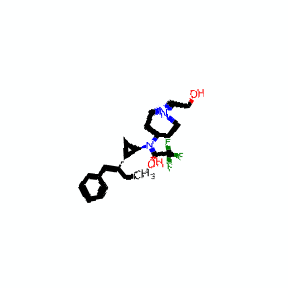 CC/C(=C\c1ccccc1)[C@@H]1C[C@H]1N(C1CCN(CCO)CC1)C(O)C(F)(F)F